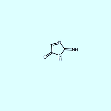 N=C1N=[C]C(=O)N1